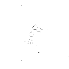 COc1cc2nncc(N3CCC(N(CC(O)C(F)(F)F)S(N)(=O)=O)CC3)c2cc1F